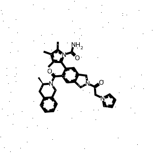 Cc1c(C)c(-c2cc3c(cc2C(=O)N2Cc4ccccc4C[C@H]2C)CN(C(=O)Cn2cccc2)C3)n(C(N)=O)c1C